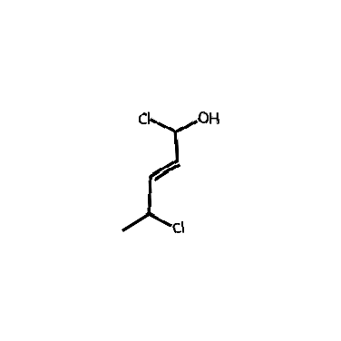 CC(Cl)/C=C/C(O)Cl